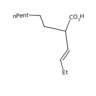 CC/C=C/C(CCCCCCC)C(=O)O